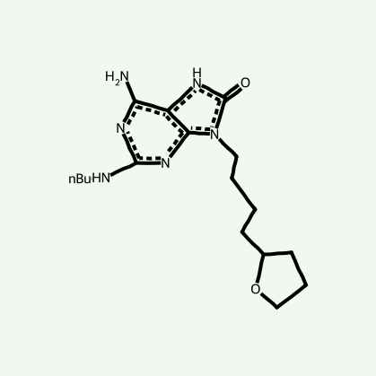 CCCCNc1nc(N)c2[nH]c(=O)n(CCCCC3CCCO3)c2n1